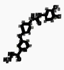 NNC(=O)c1cc(Oc2ccc(NC(=O)Nc3ccc(Cl)c(C(F)(F)F)c3)cc2)ccn1